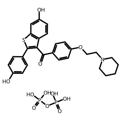 O=C(c1ccc(OCCN2CCCCC2)cc1)c1c(-c2ccc(O)cc2)sc2cc(O)ccc12.O=P(O)(O)OP(=O)(O)O